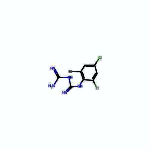 CCc1cc(Cl)cc(Cl)c1NC(=N)NC(=N)N